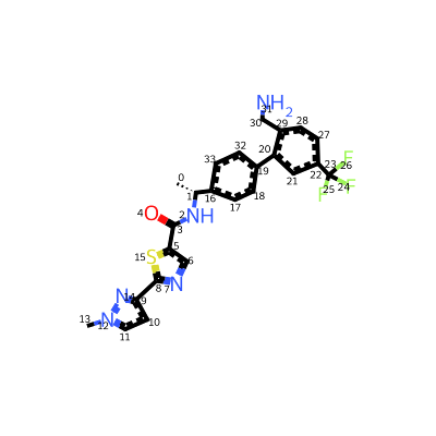 C[C@@H](NC(=O)c1cnc(-c2ccn(C)n2)s1)c1ccc(-c2cc(C(F)(F)F)ccc2CN)cc1